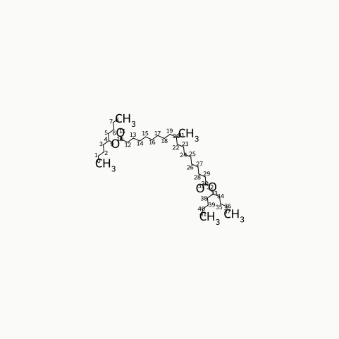 CCCCC(CCCC)OC(=O)CCCCCCCCC(C)CCCCCCCCC(=O)OC(CCCC)CCCC